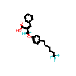 O=C(O)/C(=C\c1ccccc1)C(F)(F)Oc1ccc(CCCCCC(F)(F)F)cc1